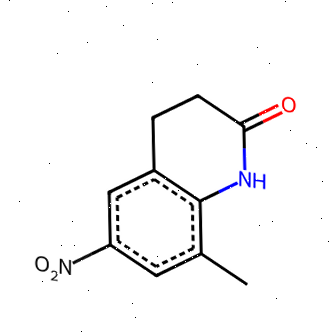 Cc1cc([N+](=O)[O-])cc2c1NC(=O)CC2